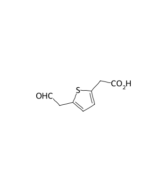 O=CCc1ccc(CC(=O)O)s1